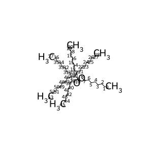 CCCCCCCCOC(=O)C(=C(CCCCCCCC)CCCCCCCC)C(CCCCCCCC)(CCCCCCCC)CCCCCCCC